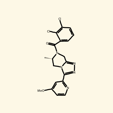 C[C@H]1Cn2c(nnc2-c2cc(O[11CH3])ccn2)CN1C(=O)c1cccc(Cl)c1Cl